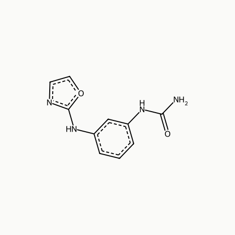 NC(=O)Nc1cccc(Nc2ncco2)c1